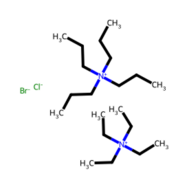 CCC[N+](CCC)(CCC)CCC.CC[N+](CC)(CC)CC.[Br-].[Cl-]